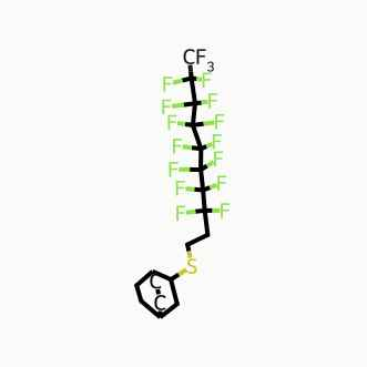 FC(F)(F)C(F)(F)C(F)(F)C(F)(F)C(F)(F)C(F)(F)C(F)(F)C(F)(F)CCSC1CC2CCC1CC2